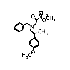 COc1ccc([C@@H](C)CN(CC(=O)N(C)OC)Cc2ccccc2)cc1